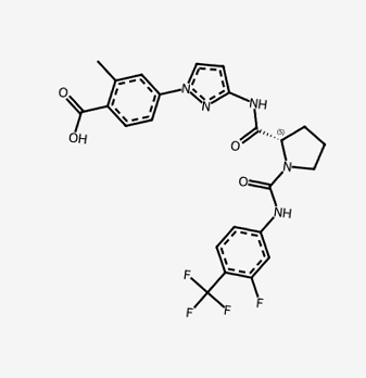 Cc1cc(-n2ccc(NC(=O)[C@@H]3CCCN3C(=O)Nc3ccc(C(F)(F)F)c(F)c3)n2)ccc1C(=O)O